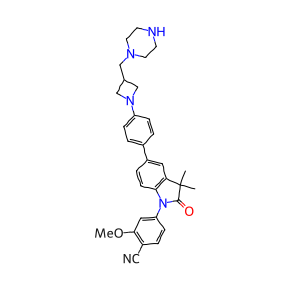 COc1cc(N2C(=O)C(C)(C)c3cc(-c4ccc(N5CC(CN6CCNCC6)C5)cc4)ccc32)ccc1C#N